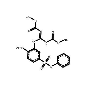 CCCCOC(=O)/N=C(/NC(=O)OCCCC)Nc1cc(S(=O)(=O)Oc2ccccc2)ccc1NC(C)=O